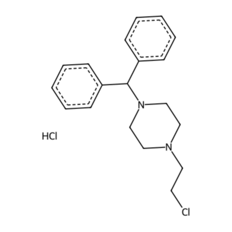 Cl.ClCCN1CCN(C(c2ccccc2)c2ccccc2)CC1